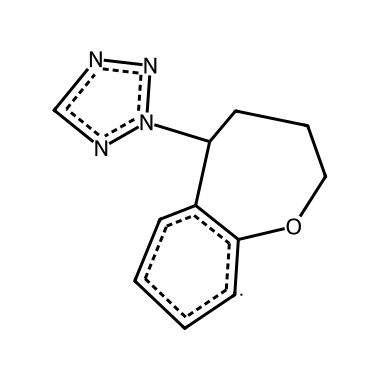 [c]1cccc2c1OCCCC2n1ncnn1